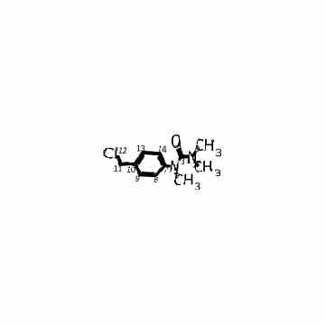 CN(C)C(=O)N(C)c1ccc(CCl)cc1